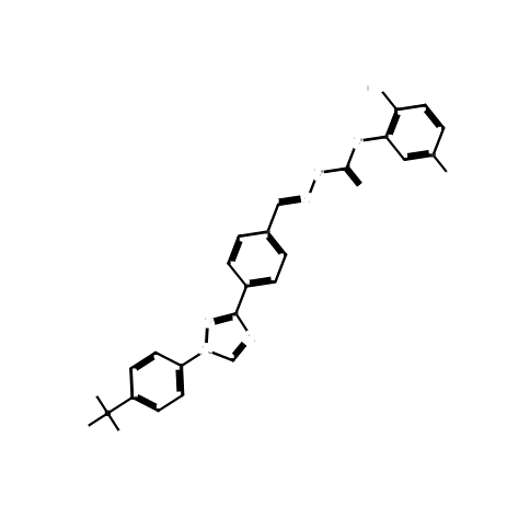 CC(C)c1ccc(F)cc1NC(=S)N/N=C/c1ccc(-c2ncn(-c3ccc(C(F)(C(F)(F)F)C(F)(F)F)cc3)n2)cc1